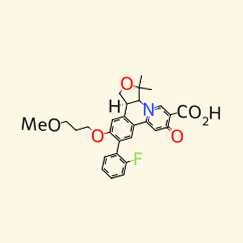 COCCCOc1cc2c(cc1-c1ccccc1F)-c1cc(=O)c(C(=O)O)cn1C1[C@@H]2COC1(C)C